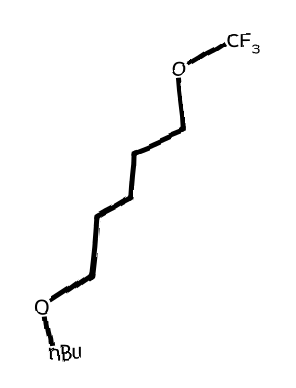 CCCCOCCCCCOC(F)(F)F